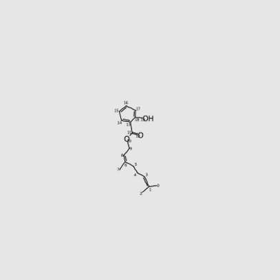 CC(C)=CCCC(C)=CCOC(=O)c1ccccc1O